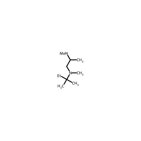 CCC(C)(C)N(C)CC(C)NC